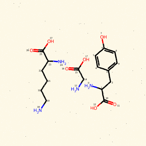 NC(Cc1ccc(O)cc1)C(=O)O.NCC(=O)O.NCCCCC(N)C(=O)O